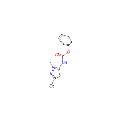 CCc1cc(NC(=O)Oc2ccccc2)n(C)n1